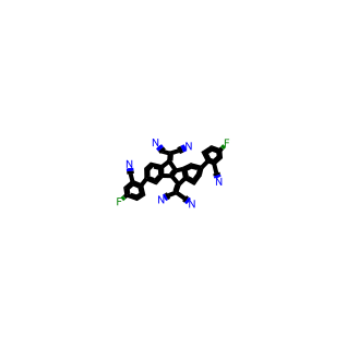 N#CC(C#N)=C1C2=C(C(=C(C#N)C#N)c3ccc(-c4ccc(F)cc4C#N)cc32)c2cc(-c3ccc(F)cc3C#N)ccc21